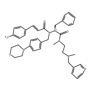 CN(CCN(C)C(=O)[C@H](Cc1ccccc1)N(Cc1ccc(N2CCOCC2)cc1)C(=O)C=Cc1ccc(C(F)(F)F)cc1)Cc1cccnc1